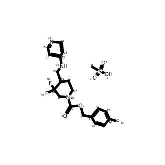 CS(=O)(=O)O.O=C(OCc1ccc(F)cc1)N1CCC(CNc2ccncc2)C(F)(F)C1